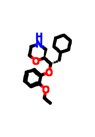 CCOc1ccccc1O[C@@H](CC1CCCCC1)[C@@H]1CNCCO1